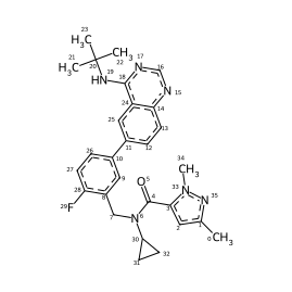 Cc1cc(C(=O)N(Cc2cc(-c3ccc4ncnc(NC(C)(C)C)c4c3)ccc2F)C2CC2)n(C)n1